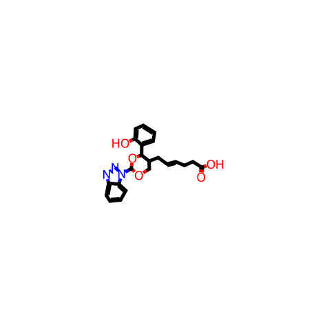 O=C(O)CCC=CCC1COC(n2nnc3ccccc32)OC1c1ccccc1O